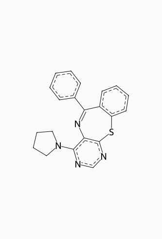 c1ccc(C2=Nc3c(ncnc3N3CCCC3)Sc3ccccc32)cc1